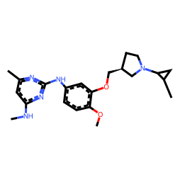 CNc1cc(C)nc(Nc2ccc(OC)c(OC[C@H]3CCN(C4CC4C)C3)c2)n1